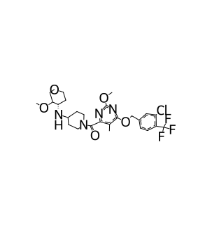 COc1nc(OCc2ccc(C(F)(F)F)c(Cl)c2)c(C)c(C(=O)N2CCC(N[C@H]3CCOCC3OC)CC2)n1